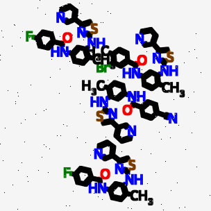 Cc1ccc(C(=O)Nc2ccc(C)c(Nc3nc(-c4cccnc4)cs3)c2)cc1Br.Cc1ccc(NC(=O)c2ccc(C#N)cc2)cc1Nc1nc(-c2cccnc2)cs1.Cc1ccc(NC(=O)c2ccc(F)cc2)cc1Nc1nc(-c2cccnc2)cs1.Cc1ccc(NC(=O)c2ccc(F)cc2)cc1Nc1nc(-c2cccnc2)cs1